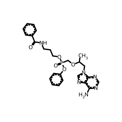 CC(Cn1cnc2c(N)ncnc21)OCP(=O)(OCCCNC(=O)c1ccccc1)Oc1ccccc1